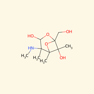 CNC1(C)C(O)OC2(CO)OC1(C)C2(C)O